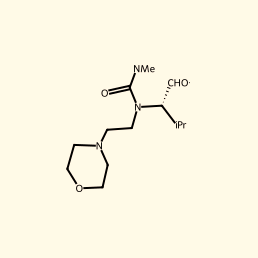 CNC(=O)N(CCN1CCOCC1)[C@H]([C]=O)C(C)C